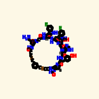 C[C@@]12CCCN1C(=O)[C@H](Cc1ccc(O)cc1)NC(=O)[C@H](Cc1cnc[nH]1)NC(=O)[C@H](CC(=O)O)NC(=O)[C@H](Cc1c[nH]c3ccc(F)cc13)NC(=O)[C@H](Cc1c[nH]c3ccc(F)cc13)NC(=O)CNC(=O)[C@H](CCCN)NC(=O)CCSCc1cccc(c1)CSCCN/C2=N\C=O